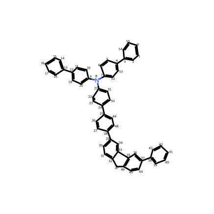 c1ccc(-c2ccc(N(c3ccc(-c4ccccc4)cc3)c3ccc(-c4ccc(-c5ccc6c(c5)-c5cc(-c7ccccc7)ccc5C6)cc4)cc3)cc2)cc1